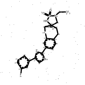 O=S1(=O)NC2(CN1CC(F)(F)F)C1CCC2Cc2cc(-c3ncc(-c4cccc(F)c4)s3)ccc2C1